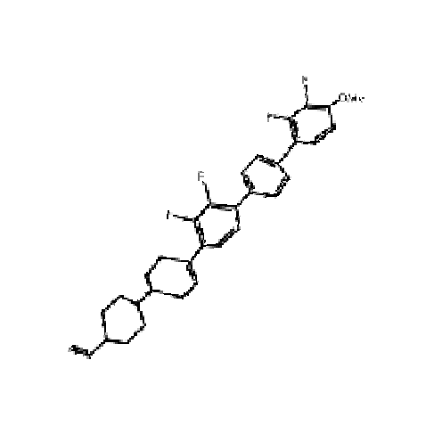 C=CC1CCC(C2CC=C(c3ccc(-c4ccc(-c5ccc(OC)c(F)c5F)cc4)c(F)c3F)CC2)CC1